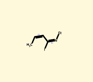 C/C=C\C(I)=N/CC